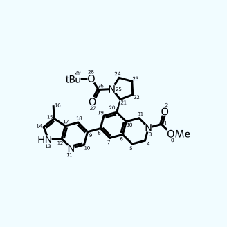 COC(=O)N1CCc2cc(-c3cnc4[nH]cc(C)c4c3)cc([C@@H]3CCCN3C(=O)OC(C)(C)C)c2C1